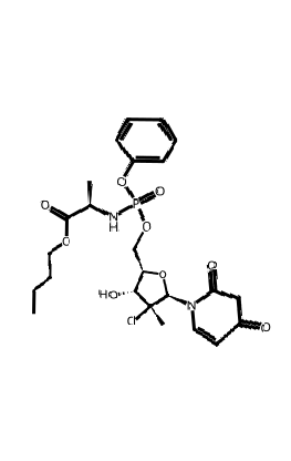 CCCCOC(=O)[C@@H](C)NP(=O)(OC[C@H]1O[C@@H](N2C=CC(=O)CC2=O)[C@](C)(Cl)[C@@H]1O)Oc1ccccc1